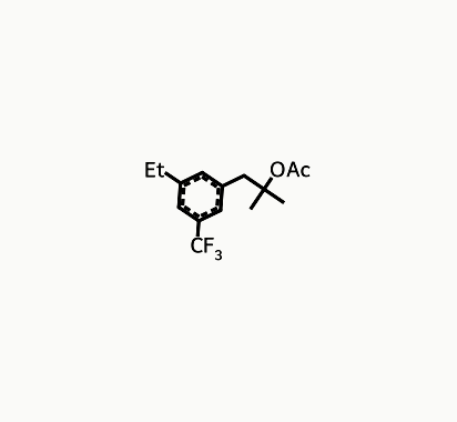 CCc1cc(CC(C)(C)OC(C)=O)cc(C(F)(F)F)c1